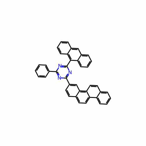 c1ccc(-c2nc(-c3ccc4ccc5c6ccccc6ccc5c4c3)nc(-c3c4ccccc4cc4ccccc34)n2)cc1